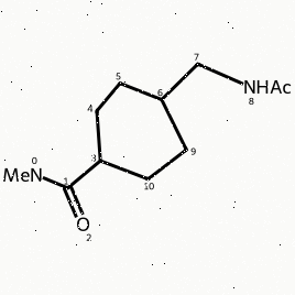 CNC(=O)C1CCC(CNC(C)=O)CC1